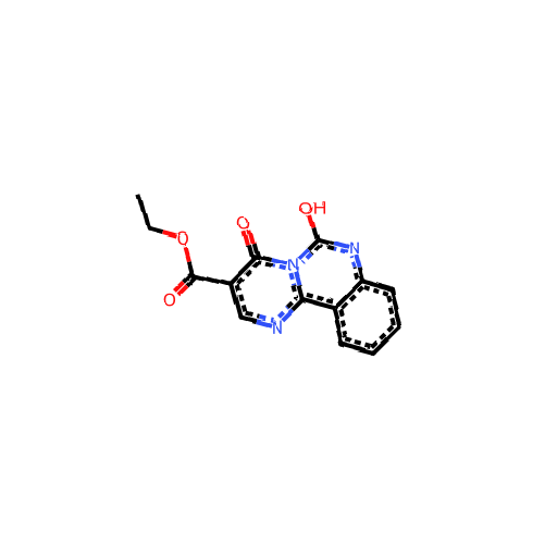 CCOC(=O)c1cnc2c3ccccc3nc(O)n2c1=O